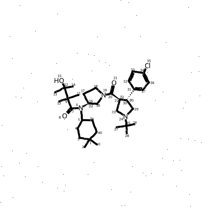 CC1(C)CCC(N(C(=O)C(C)(C)C(C)(C)O)[C@H]2CCN(C(=O)[C@@H]3CN(C(C)(C)C)C[C@H]3c3ccc(Cl)cc3)C2)CC1